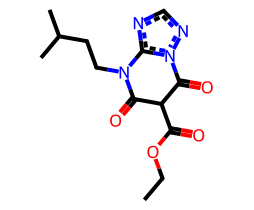 CCOC(=O)C1C(=O)N(CCC(C)C)c2ncnn2C1=O